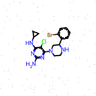 Nc1nc(NC2CC2)c(Cl)c(N2CCNC(c3ccccc3Br)C2)n1